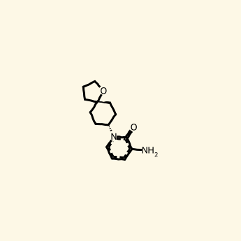 Nc1cccn([C@H]2CC[C@]3(CCCO3)CC2)c1=O